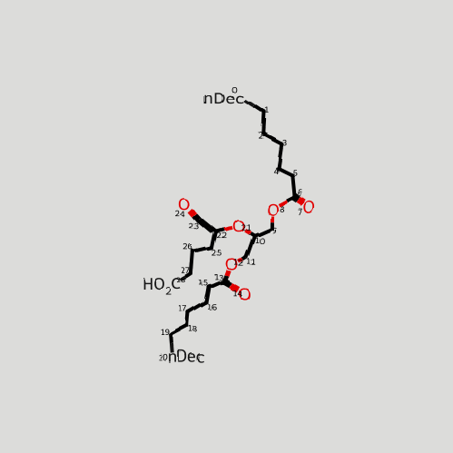 CCCCCCCCCCCCCCCC(=O)OCC(COC(=O)CCCCCCCCCCCCCCC)OC(=C=O)CCCC(=O)O